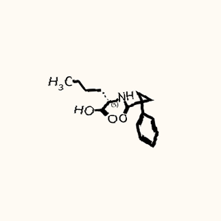 CCCC[C@H](NC(=O)C1(c2ccccc2)CC1)C(=O)O